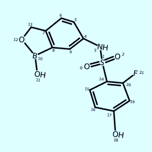 O=S(=O)(Nc1ccc2c(c1)B(O)OC2)c1ccc(O)cc1F